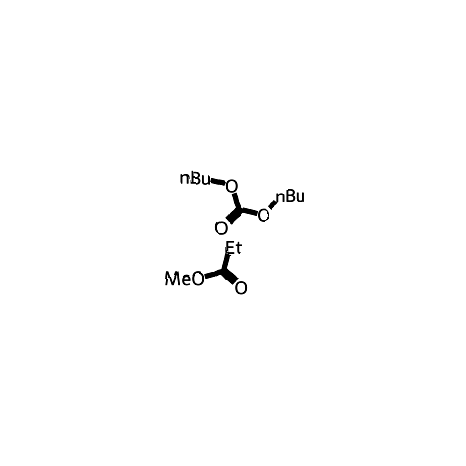 CCC(=O)OC.CCCCOC(=O)OCCCC